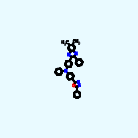 Cc1cc2nc(-c3ccccc3)c(-c3ccc(N(c4ccccc4)c4ccc(-c5nnc(-c6ccccc6)o5)cc4)cc3)nc2cc1C